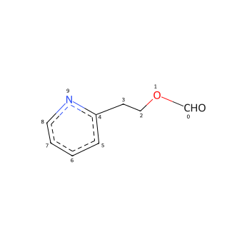 O=COCCc1ccccn1